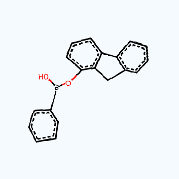 OB(Oc1cccc2c1Cc1ccccc1-2)c1ccccc1